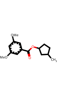 COc1cc(OC)cc(C(=O)OC2CCC(C)C2)c1